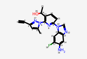 C#Cc1cc(C)n(-c2nc(-n3cnc4cc(N)c(F)cc43)ccc2C(C)O)n1